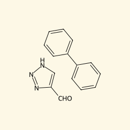 O=Cc1c[nH]nn1.c1ccc(-c2ccccc2)cc1